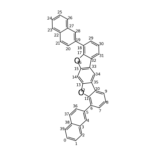 c1ccc2cc(-c3cccc4c3oc3cc5oc6c(-c7ccc8ccccc8c7)cccc6c5cc34)ccc2c1